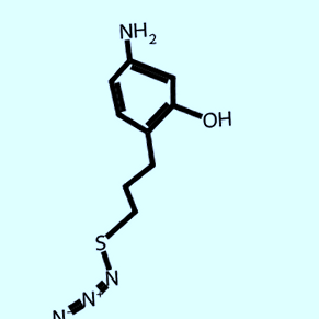 [N-]=[N+]=NSCCCc1ccc(N)cc1O